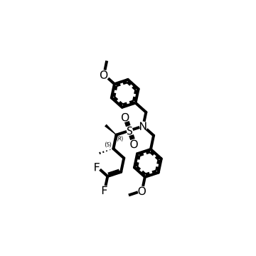 COc1ccc(CN(Cc2ccc(OC)cc2)S(=O)(=O)[C@H](C)[C@@H](C)CC=C(F)F)cc1